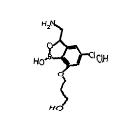 Cl.NCC1OB(O)c2c(OCCCO)cc(Cl)cc21